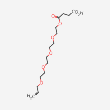 C=CCOCCOCCOCCOCCOC(=O)CCC(=O)O